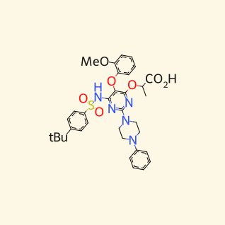 COc1ccccc1Oc1c(NS(=O)(=O)c2ccc(C(C)(C)C)cc2)nc(N2CCN(c3ccccc3)CC2)nc1OC(C)C(=O)O